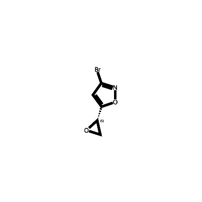 Brc1cc([C@@H]2CO2)on1